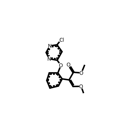 COC=C(C(=O)OC)c1ccccc1Oc1cc(Cl)ncn1